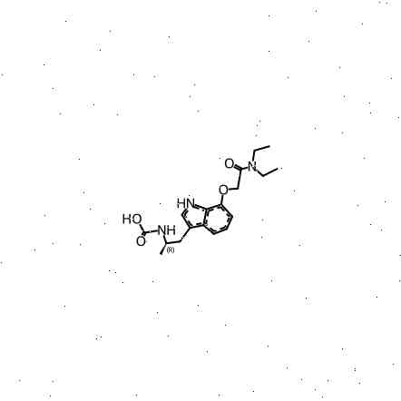 CCN(CC)C(=O)COc1cccc2c(C[C@@H](C)NC(=O)O)c[nH]c12